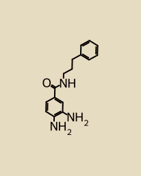 Nc1ccc(C(=O)NCCCc2ccccc2)cc1N